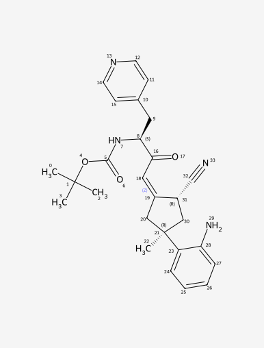 CC(C)(C)OC(=O)N[C@@H](Cc1ccncc1)C(=O)/C=C1/C[C@](C)(c2ccccc2N)C[C@H]1C#N